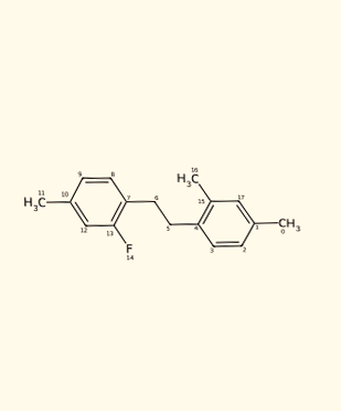 Cc1ccc(CCc2ccc(C)cc2F)c(C)c1